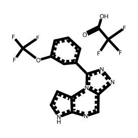 FC(F)(F)Oc1cccc(-c2nnc3cnc4[nH]ccc4n23)c1.O=C(O)C(F)(F)F